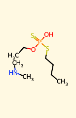 CCCCSP(O)(=S)OCC.CNC